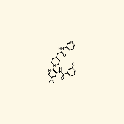 N#Cc1cnc(N2CCC(CC(=O)Nc3cccnc3)CC2)c(NC(=O)c2cccc(Cl)c2)c1